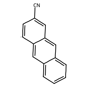 N#Cc1c[c]c2cc3ccccc3cc2c1